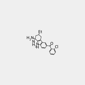 CCC1Cc2c([nH]c3ccc(C(=O)c4ccccc4Cl)cc23)C(N)(N)C1